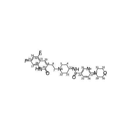 O=C(NC1CCN(CCc2cc3c(F)cc(F)cc3[nH]c2=O)CC1)c1ccc(N2CCOCC2)nc1